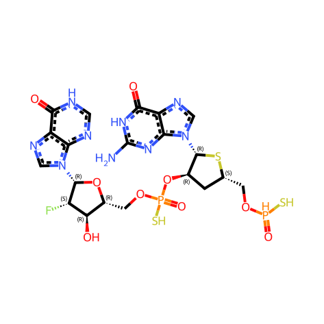 Nc1nc2c(ncn2[C@@H]2S[C@H](CO[PH](=O)S)C[C@H]2OP(=O)(S)OC[C@H]2O[C@@H](n3cnc4c(=O)[nH]cnc43)[C@@H](F)[C@@H]2O)c(=O)[nH]1